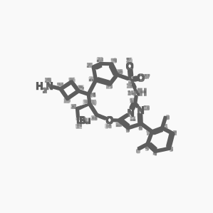 Cc1cccc(C)c1-c1cc2nc(n1)NS(=O)(=O)c1cccc(c1)C(C1CC(N)C1)[C@H](CC(C)(C)C)CO2